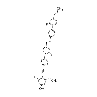 CCCc1ccc(-c2ccc(CCc3ccc(-c4ccc(C#Cc5c(F)cc(O)cc5CC)cc4)c(F)c3)cc2)c(F)c1